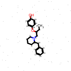 CCC(CN1CCCCC1Cc1ccccc1)Oc1ccc(O)cc1